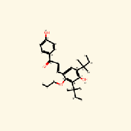 CCCOc1c(C=CC(=O)c2ccc(O)cc2)cc(C(C)(C)CC)c(O)c1C(C)(C)CC